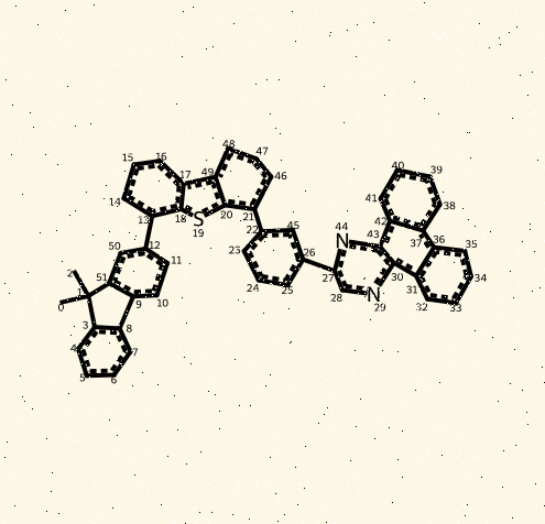 CC1(C)c2ccccc2-c2ccc(-c3cccc4c3sc3c(-c5cccc(-c6cnc7c8ccccc8c8ccccc8c7n6)c5)cccc34)cc21